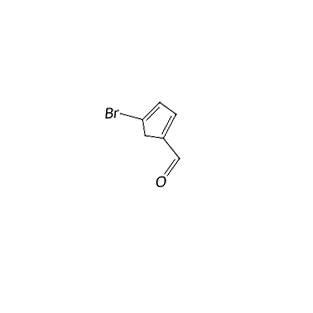 O=CC1=CC=C(Br)C1